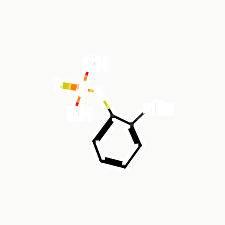 CCCCc1ccccc1SP(O)(O)=S